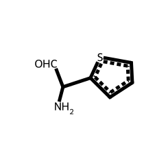 NC(C=O)c1cccs1